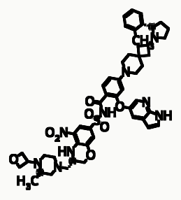 Cc1ccccc1[C@@H]1CCCN1C1CC2(CCN(c3ccc(C(=O)NS(=O)(=O)c4cc5c(c([N+](=O)[O-])c4)N[C@@H](CN4CCN(C6COC6)[C@H](C)C4)CO5)c(Oc4cnc5[nH]ccc5c4)c3)CC2)C1